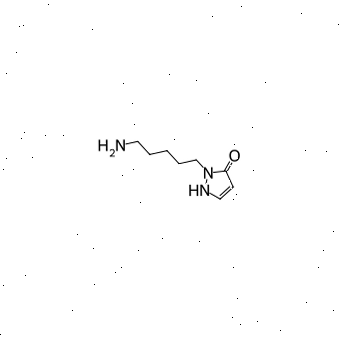 NCCCCCn1[nH]ccc1=O